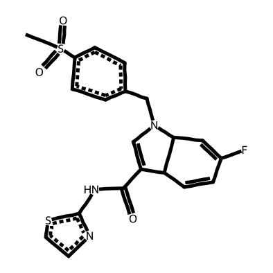 CS(=O)(=O)c1ccc(CN2C=C(C(=O)Nc3nccs3)C3C=CC(F)=CC32)cc1